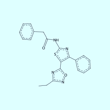 CCc1noc(-c2sc(NC(=O)Cc3ccccc3)nc2-c2ccccc2)n1